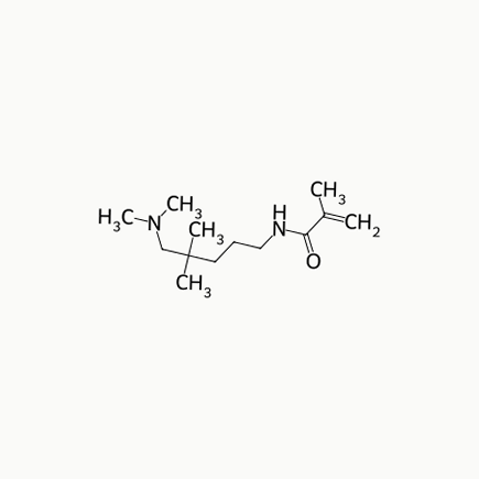 C=C(C)C(=O)NCCCC(C)(C)CN(C)C